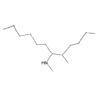 CCCCCCC(NC)C(C)CCCC